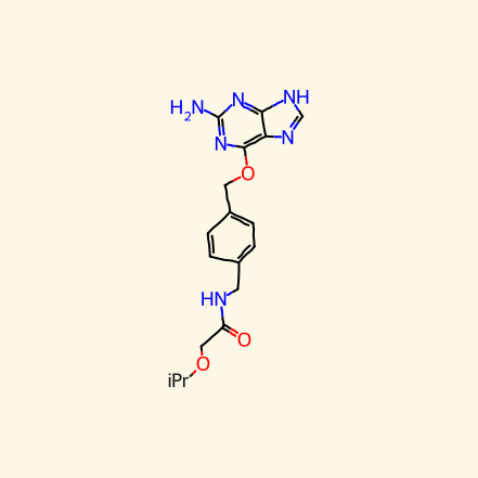 CC(C)OCC(=O)NCc1ccc(COc2nc(N)nc3[nH]cnc23)cc1